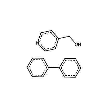 OCc1ccncc1.c1ccc(-c2ccccc2)cc1